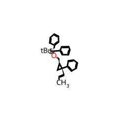 CC=C[C@@]1(c2ccccc2)C[C@H]1CO[Si](c1ccccc1)(c1ccccc1)C(C)(C)C